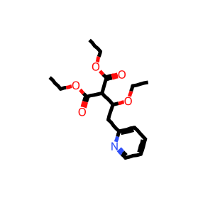 CCOC(=O)C(C(=O)OCC)C(Cc1ccccn1)OCC